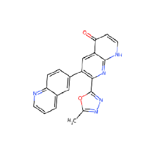 Cc1nnc(-c2nc3[nH]ccc(=O)c3cc2-c2ccc3ncccc3c2)o1